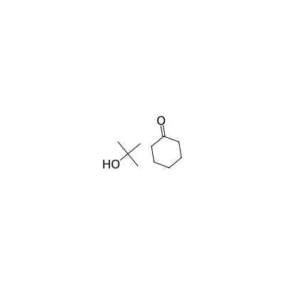 CC(C)(C)O.O=C1CCCCC1